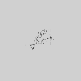 CNC(=O)NCC1CCN(Cc2cc(Oc3ccc(N4CCNCC4)nc3)nc(-c3cc(Cl)cc(Cl)c3)c2)CC1